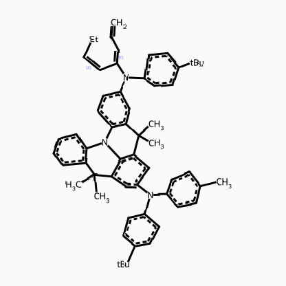 C=C/C=C(\C=C/CC)N(c1ccc(C(C)(C)C)cc1)c1ccc2c(c1)C(C)(C)c1cc(N(c3ccc(C)cc3)c3ccc(C(C)(C)C)cc3)cc3c1N2c1ccccc1C3(C)C